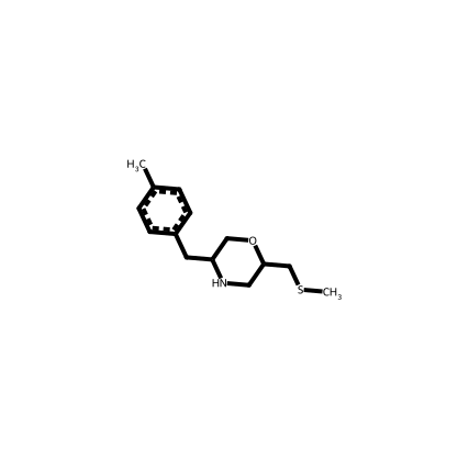 CSCC1CNC(Cc2ccc(C)cc2)CO1